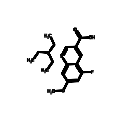 CCN(CC)CC.COc1cc(F)c2cc(C(=O)O)cnc2c1